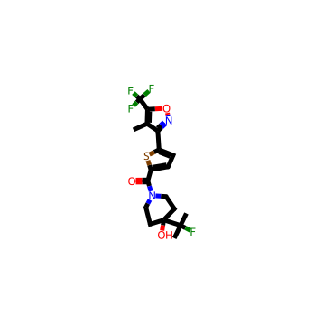 Cc1c(-c2ccc(C(=O)N3CCC(O)(C(C)(C)F)CC3)s2)noc1C(F)(F)F